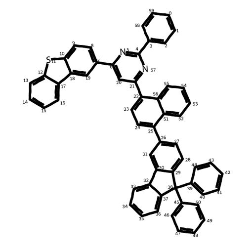 c1ccc(-c2nc(-c3ccc4sc5ccccc5c4c3)cc(-c3ccc(-c4ccc5c(c4)-c4ccccc4C5(c4ccccc4)c4ccccc4)c4ccccc34)n2)cc1